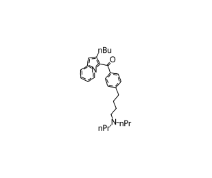 CCCCc1cc2ccccn2c1C(=O)c1ccc(CCCCN(CCC)CCC)cc1